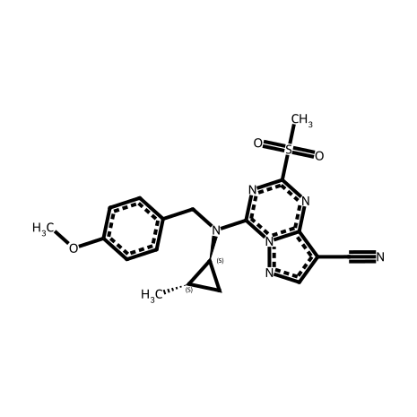 COc1ccc(CN(c2nc(S(C)(=O)=O)nc3c(C#N)cnn23)[C@H]2C[C@@H]2C)cc1